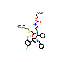 CSCCOC(=O)NCCCN(C(=O)CSCCC(=O)O)[C@@H](c1cc(-c2cc(F)ccc2F)cn1Cc1ccccc1)C1CCCCC1